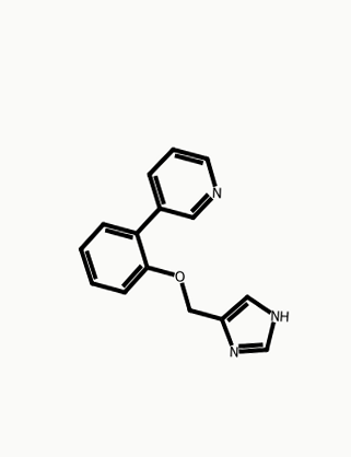 c1cncc(-c2ccccc2OCc2c[nH]cn2)c1